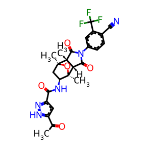 CC(=O)c1cc(C(=O)N[C@H]2C[C@]3(C)O[C@@]2(C)[C@H]2C(=O)N(c4ccc(C#N)c(C(F)(F)F)c4)C(=O)[C@]23C)n[nH]1